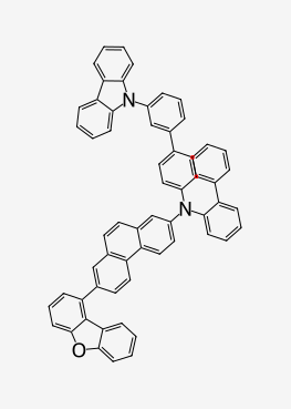 c1ccc(-c2ccccc2N(c2ccc(-c3cccc(-n4c5ccccc5c5ccccc54)c3)cc2)c2ccc3c(ccc4cc(-c5cccc6oc7ccccc7c56)ccc43)c2)cc1